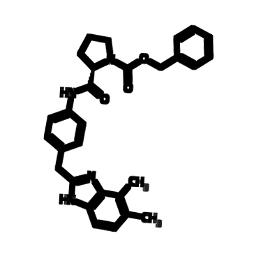 Cc1ccc2[nH]c(Cc3ccc(NC(=O)[C@@H]4CCCN4C(=O)OCc4ccccc4)cc3)nc2c1C